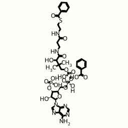 CC(C)(COP(=O)(O)OP(=O)(O)OC[C@H]1O[C@@H](n2cnc3c(N)ncnc32)[C@H](O)[C@@H]1OP(=O)(O)O)C(O)C(=O)NCCC(=O)NCCSC(=O)c1ccccc1.O=C(O)c1ccccc1